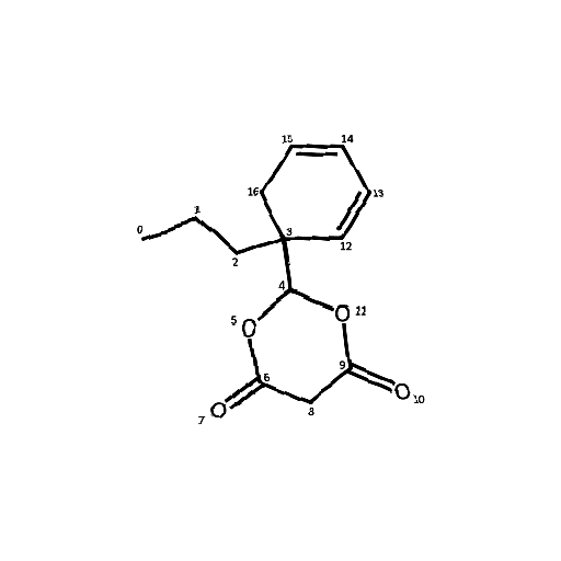 CCCC1(C2OC(=O)CC(=O)O2)C=CC=CC1